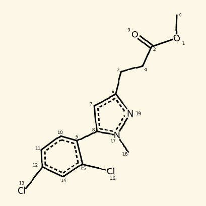 COC(=O)CCc1cc(-c2ccc(Cl)cc2Cl)n(C)n1